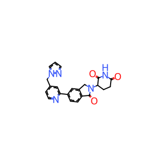 O=C1CCC(N2Cc3cc(-c4cc(Cn5cccn5)ccn4)ccc3C2=O)C(=O)N1